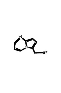 CC(C)Cc1ccc2ncccn12